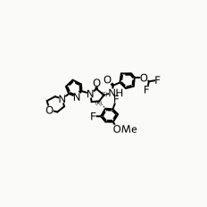 COc1cc(F)c([C@@H]2CN(c3cccc(N4CCOCC4)n3)C(=O)[C@H]2NC(=O)c2ccc(OC(F)F)cc2)c(F)c1